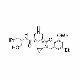 CCc1cc(CN(C(=O)[C@H]2CNC[C@@H](C(=O)NC(CO)CC(C)C)C2)C2CC2)cc(OC)c1